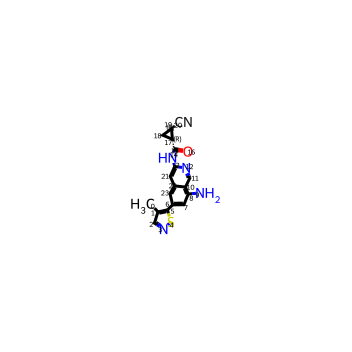 Cc1cnsc1-c1cc(N)c2cnc(NC(=O)[C@@H]3C[C@H]3C#N)cc2c1